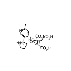 CC(=O)O.Cc1ccc([C@@H]2CCCN2C)cn1.O=C(O)CC(O)(CC(=O)O)C(=O)O